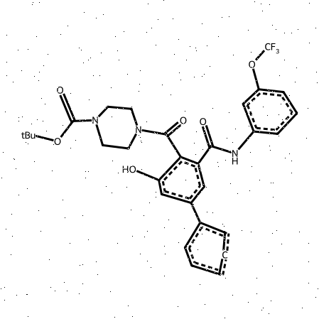 CC(C)(C)OC(=O)N1CCN(C(=O)c2c(O)cc(-c3ccccc3)cc2C(=O)Nc2cccc(OC(F)(F)F)c2)CC1